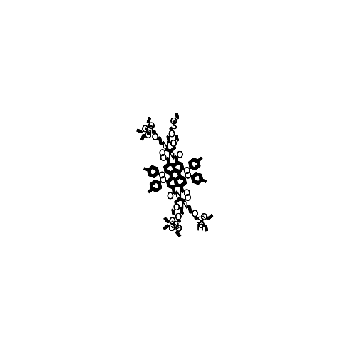 CCOCC(C(=O)N(CCOCSOCC)CCOC[Si](OCC)(OCC)OCC)N1C(=O)c2cc(Oc3ccc(C)cc3)c3c4c(Oc5ccc(C)cc5)cc5c6c(cc(Oc7ccc(C)cc7)c(c7c(Oc8ccc(C)cc8)cc(c2c37)C1=O)c64)C(=O)N(C(COCC)C(=O)N(CCOC[SiH](OCC)OCC)CCOC[Si](OCC)(OCC)OCC)C5=O